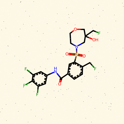 O=C(Nc1cc(F)c(F)c(F)c1)c1ccc(CF)c(S(=O)(=O)N2CCOCC(O)(CF)C2)c1